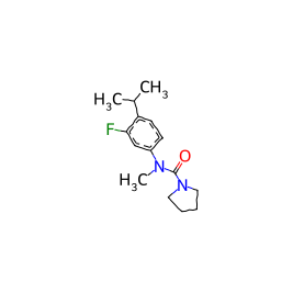 CC(C)c1ccc(N(C)C(=O)N2CCCC2)cc1F